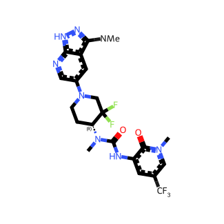 CNc1n[nH]c2ncc(N3CC[C@@H](N(C)C(=O)Nc4cc(C(F)(F)F)cn(C)c4=O)C(F)(F)C3)cc12